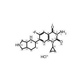 Cl.Nn1c(=O)c2cc(F)c(C3CCC4CNCC4N3)nc2n(C2CC2)c1=O